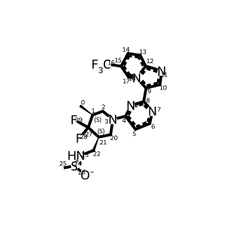 C[C@H]1CN(c2ccnc(-c3cnc4ccc(C(F)(F)F)cn34)n2)C[C@@H](CN[S+](C)[O-])C1(F)F